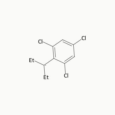 CC[C](CC)c1c(Cl)cc(Cl)cc1Cl